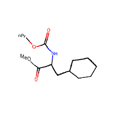 CCCOC(=O)NC(CC1CCCCC1)C(=O)OC